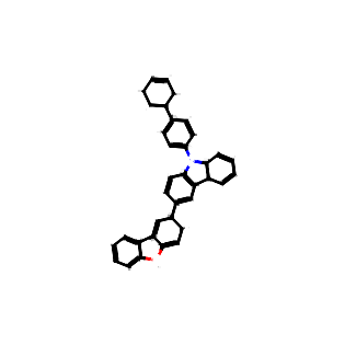 C1=CC2c3cc(C4C=c5c(oc6ccccc56)=CC4)ccc3N(c3ccc(C4CC=CCC4)cc3)C2C=C1